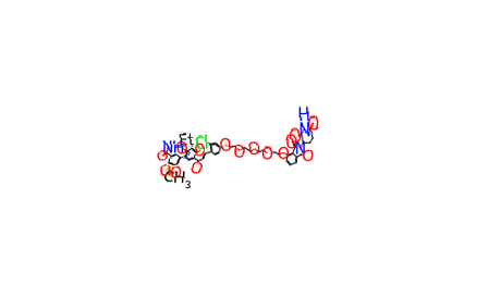 CCOc1cc2oc(-c3ccc(OCCOCCOCCOCCOc4cccc5c4C(=O)N(C4CCC(=O)NC4=O)C5=O)cc3Cl)cc(=O)c2cc1-c1cc(C(N)=O)cc(S(C)(=O)=O)c1